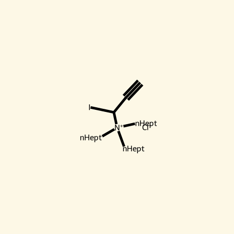 C#CC(I)[N+](CCCCCCC)(CCCCCCC)CCCCCCC.[Cl-]